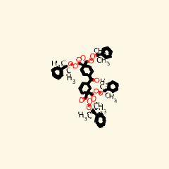 CC(C)(OOC(=O)C1(C(=O)OOC(C)(C)c2ccccc2)C=CC(C(=O)C2C=CCC(C(=O)OOC(C)(C)c3ccccc3)(C(=O)OOC(C)(C)c3ccccc3)C2)C=C1)c1ccccc1